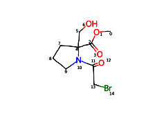 COC(=O)C1(CO)CCCN1C(=O)CBr